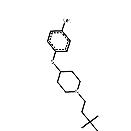 CC(C)(C)CCN1CCC(Sc2ccc(O)cc2)CC1